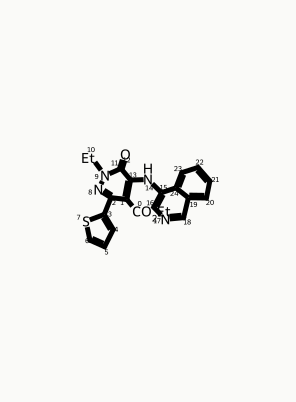 CCOC(=O)c1c(-c2cccs2)nn(CC)c(=O)c1Nc1cncc2ccccc12